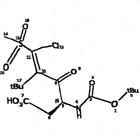 CC(C)(C)OC(=O)N[C@@H](CC(=O)O)C(=O)C(=C(Cl)S(C)(=O)=O)C(C)(C)C